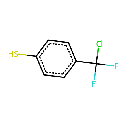 FC(F)(Cl)c1ccc(S)cc1